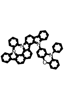 c1ccc(N2c3ccccc3Oc3ccc(-n4c5ccccc5c5ccc6c(c7ccc8ccc9c%10ccccc%10n%10c%11ccccc%11n6c7c8c9%10)c54)cc32)cc1